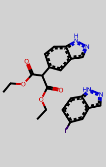 CCOC(=O)C(C(=O)OCC)c1ccc2[nH]ncc2c1.Ic1ccc2[nH]ncc2c1